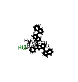 CC1=Cc2c(-c3cccc4ccccc34)ccc(C)c2[CH]1[Zr]([CH3])([CH3])(=[SiH2])[CH]1C(C2CCCCC2)=Cc2c(-c3cccc4ccccc34)cccc21.Cl.Cl